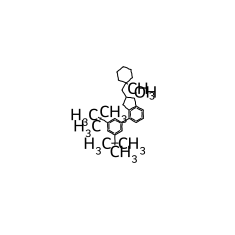 CC1(CC2Cc3c(-c4cc(C(C)(C)C)cc(C(C)(C)C)c4)cccc3C2O)CCCCC1